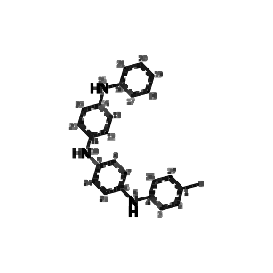 Cc1ccc(Nc2ccc(Nc3ccc(Nc4ccccc4)cc3)cc2)cc1